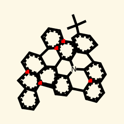 CC(C)(C)c1ccc(-c2ccccc2N(c2cc(-c3cccc4ccccc34)ccc2-c2ccccc2)c2ccccc2-c2cccc3cccc(-c4ccccc4)c23)cc1